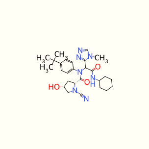 Cn1cnnc1C(C(=O)NC1CCCCC1)N(C(=O)[C@H]1C[C@@H](O)CN1C#N)c1ccc(C(C)(C)C)cc1